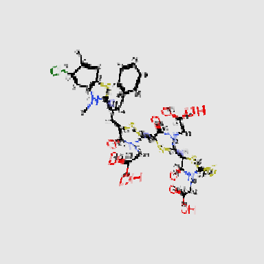 Cc1cc2c(cc1Cl)N(C)/C(=C(\C=c1s/c(=c3/s/c(=C4/SC(=S)N(CC(=O)O)C4=O)n(CC(=O)O)c3=O)n(CC(=O)O)c1=O)Cc1ccccc1)S2